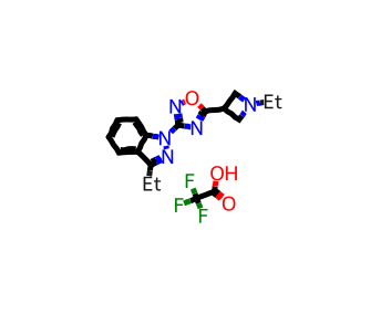 CCc1nn(-c2noc(C3CN(CC)C3)n2)c2ccccc12.O=C(O)C(F)(F)F